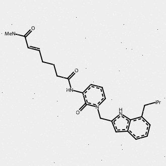 CNC(=O)/C=C/CCCC(=O)Nc1cccn(Cc2cc3cccc(CC(C)C)c3[nH]2)c1=O